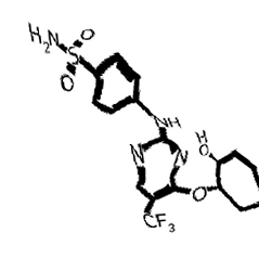 NS(=O)(=O)c1ccc(Nc2ncc(C(F)(F)F)c(O[C@@H]3CCCC[C@@H]3O)n2)cc1